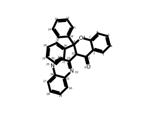 O=C1c2ccccc2OC(c2ccccc2)(c2ccccc2)C1c1cnc2ccccc2n1